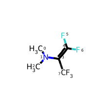 CN(C)C(=C(F)F)C(F)(F)F